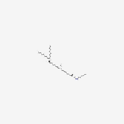 CCCCCC/C=C\COC(=O)CCCCCCCN(CCO)CCCCCCCC(O)OC(CCCCCCCC)CCCCCCCC